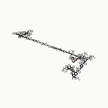 CC[C@@]1(O)C(=O)OCc2c1cc1n(c2=O)Cc2c-1nc1cc(F)c(C)c3c1c2[C@@H](NC(=O)OCc1ccc(NC(=O)[C@H](CCCNC(N)=O)NC(=O)[C@@H](NC(=O)[C@H](CCCCNC(=O)CCOCCOCCOCCOCCOCCOCCOCCOCCOCCOCCOCCOCCN(C[C@H](O)[C@@H](O)[C@H](O)CO)C[C@H](O)[C@@H](O)[C@H](O)CO)NC(=O)CCCCCN2C(=O)C=CC2=O)C(C)C)cc1)CC3